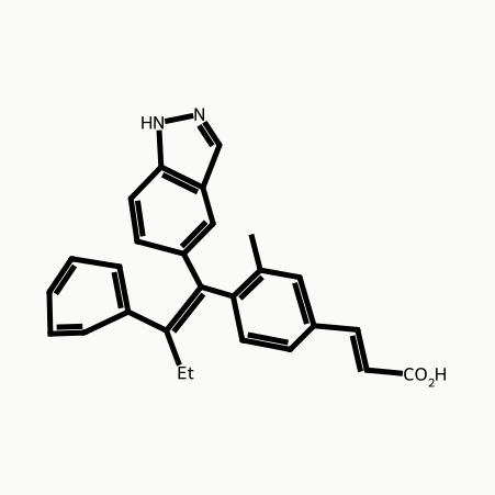 CCC(=C(c1ccc2[nH]ncc2c1)c1ccc(C=CC(=O)O)cc1C)c1ccccc1